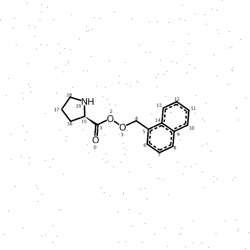 O=C(OOCc1cccc2ccccc12)[C@H]1CCCN1